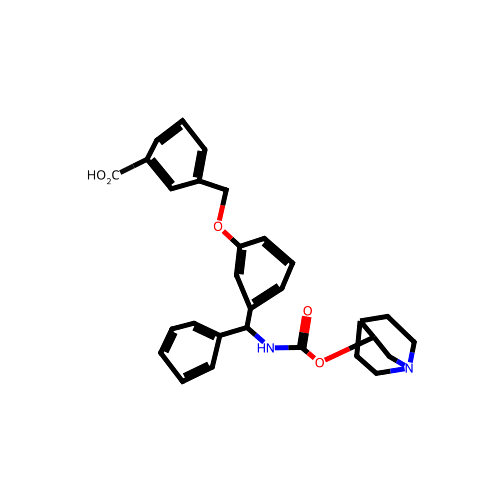 O=C(NC(c1ccccc1)c1cccc(OCc2cccc(C(=O)O)c2)c1)OC1CN2CCC1CC2